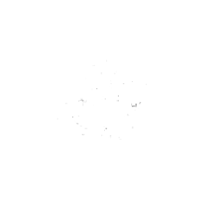 CC1C2CC3CC(C=CC(=O)O)(C2)C(c2ccccc2O)(c2ccccc2O)C1(C)C3